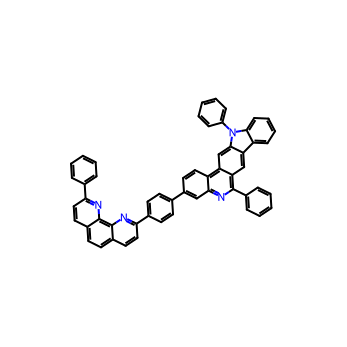 c1ccc(-c2ccc3ccc4ccc(-c5ccc(-c6ccc7c(c6)nc(-c6ccccc6)c6cc8c9ccccc9n(-c9ccccc9)c8cc67)cc5)nc4c3n2)cc1